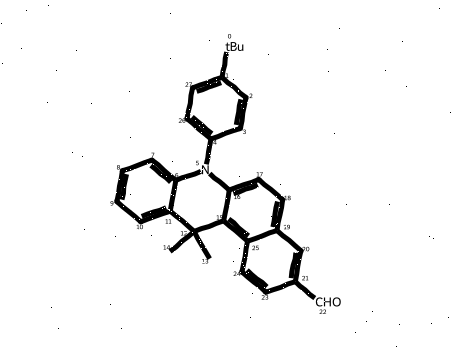 CC(C)(C)c1ccc(N2c3ccccc3C(C)(C)c3c2ccc2cc(C=O)ccc32)cc1